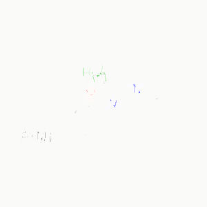 CC(=O)Nc1ccc(C(=O)CN2CCN(Cc3ccccc3)CC2)cc1.Cl.Cl